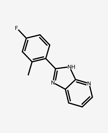 Cc1cc(F)ccc1-c1nc2cccnc2[nH]1